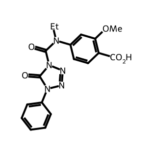 CCN(C(=O)n1nnn(-c2ccccc2)c1=O)c1ccc(C(=O)O)c(OC)c1